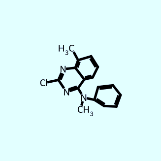 Cc1cccc2c(N(C)c3ccccc3)nc(Cl)nc12